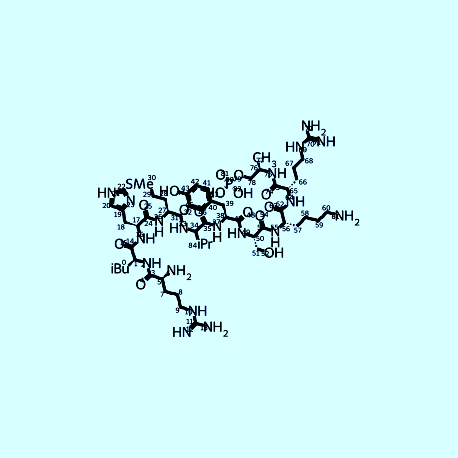 CCC(C)[C@H](NC(=O)[C@@H](N)CCCNC(=N)N)C(=O)N[C@@H](Cc1c[nH]cn1)C(=O)N[C@@H](CCSC)C(=O)NC(C(=O)N[C@@H](Cc1ccc(O)cc1)C(=O)N[C@@H](CO)C(=O)N[C@@H](CCCCN)C(=O)N[C@@H](CCCNC(=N)N)C(=O)N[C@H](C)COP(=O)(O)O)C(C)C